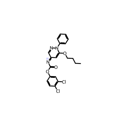 CCCCOc1c/c(=N\C(=O)Oc2ccc(Cl)c(Cl)c2)cnn1-c1ccccc1